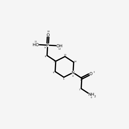 NCC(=O)N1CCC(CP(=O)(O)O)CC1